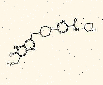 CCc1cc2ncc(CN3CCN(c4ccc(C(=O)N[C@@H]5CCNC5)nc4)CC3)cc2[nH]c1=O